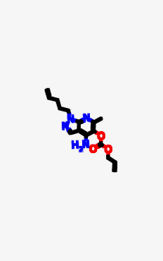 C=CCCCn1ncc2c(N)c(OC(=O)OCC=C)c(C)nc21